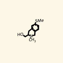 CSc1ccc2c(c1)CC(CO)N(C)C2